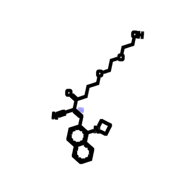 N#C/C(=C\c1ccc2ccccc2c1N1CCC1)C(=O)CCCOCCOCCO